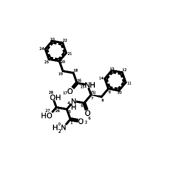 NC(=O)C(NC(=O)[C@H](Cc1ccccc1)NC(=O)CCc1ccccc1)C(O)O